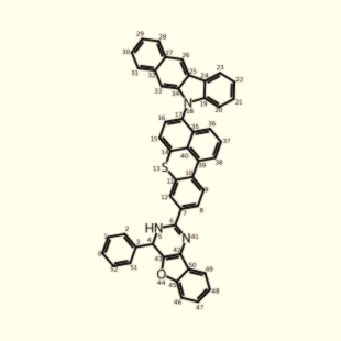 c1ccc(C2NC(c3ccc4c(c3)Sc3ccc(-n5c6ccccc6c6cc7ccccc7cc65)c5cccc-4c35)=Nc3c2oc2ccccc32)cc1